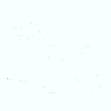 COSP(=O)(OCCCCOC1OC(CO)C(O)C(O)C1NC(C)=O)OCCCOCC(COCCCCCCCCOP(=O)(O)S)(COCCCOP(=O)(OCCCCOC1OC(CO)C(O)C(O)C1NC(C)=O)SOC)COCCCOP(=O)(OCCCCOC1OC(CO)C(O)C(O)C1NC(C)=O)SOC